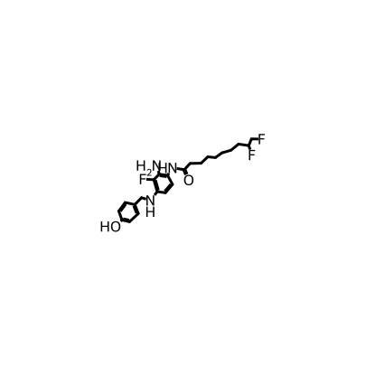 Nc1c(NC(=O)CCCCCCCC(F)CF)ccc(NCc2ccc(O)cc2)c1F